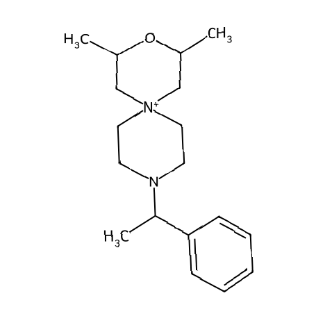 CC1C[N+]2(CCN(C(C)c3ccccc3)CC2)CC(C)O1